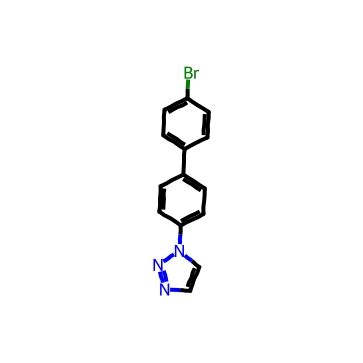 Brc1ccc(-c2ccc(-n3ccnn3)cc2)cc1